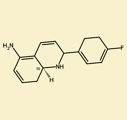 NC1=C2C=CC(C3=CC=C(F)CC3)N[C@H]2CC=C1